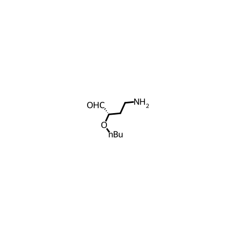 CCCCO[C@H](C=O)CCN